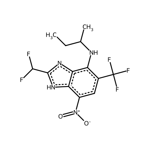 CCC(C)Nc1c(C(F)(F)F)cc([N+](=O)[O-])c2[nH]c(C(F)F)nc12